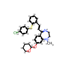 CN1CCN=C(/C=C/c2ccccc2Sc2ccc(Cl)cc2)c2ccc(OC3CCCCO3)cc21